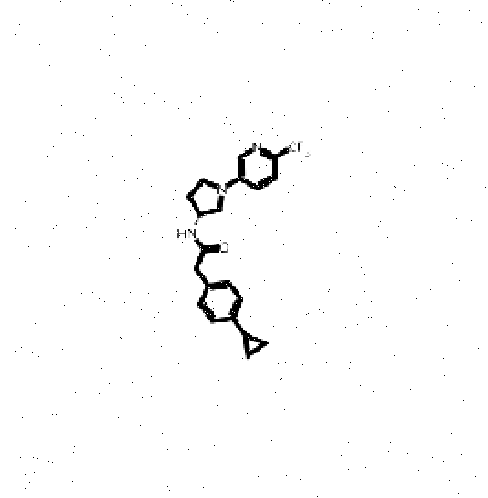 O=C(Cc1ccc(C2CC2)cc1)N[C@@H]1CCN(c2ccc(C(F)(F)F)nc2)C1